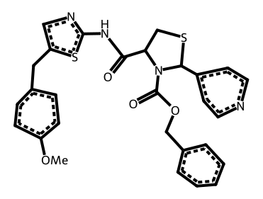 COc1ccc(Cc2cnc(NC(=O)C3CSC(c4ccncc4)N3C(=O)OCc3ccccc3)s2)cc1